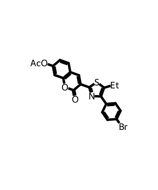 CCc1sc(-c2cc3ccc(OC(C)=O)cc3oc2=O)nc1-c1ccc(Br)cc1